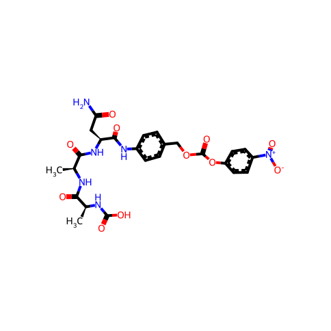 C[C@H](NC(=O)O)C(=O)N[C@@H](C)C(=O)N[C@@H](CC(N)=O)C(=O)Nc1ccc(COC(=O)Oc2ccc([N+](=O)[O-])cc2)cc1